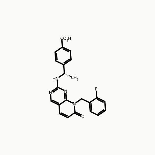 C[C@H](Nc1ncc2ccc(=O)n(Cc3ccccc3F)c2n1)c1ccc(C(=O)O)cc1